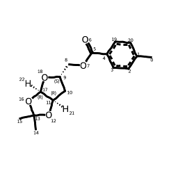 Cc1ccc(C(=O)OC[C@@H]2C[C@H]3OC(C)(C)O[C@H]3O2)cc1